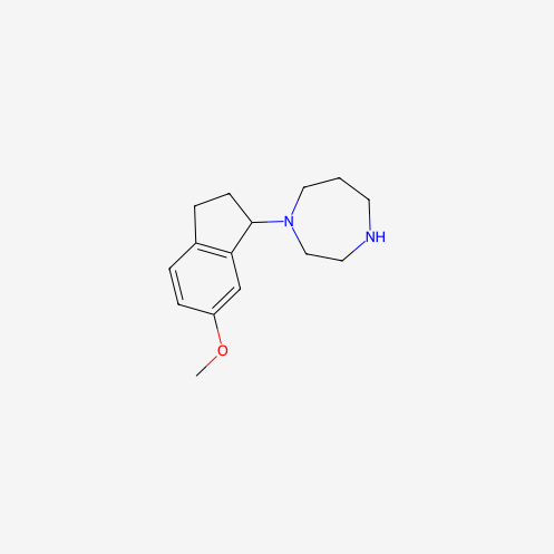 COc1ccc2c(c1)C(N1CCCNCC1)CC2